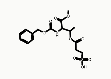 COC(=O)C(NC(=O)OCc1ccccc1)C(C)OC(=O)CCS(=O)(=O)O